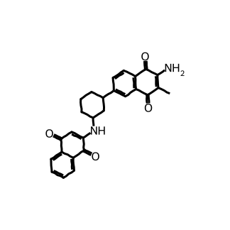 CC1=C(N)C(=O)c2ccc(C3CCCC(NC4=CC(=O)c5ccccc5C4=O)C3)cc2C1=O